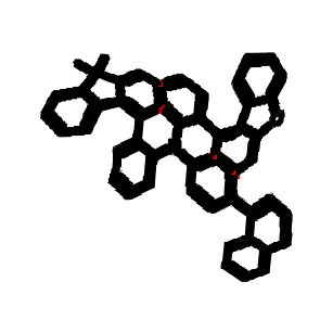 CC1(C)c2ccccc2-c2c(-c3ccccc3N(c3ccc(-c4cccc5ccccc45)cc3)c3ccccc3-c3cccc4oc5ccccc5c34)cccc21